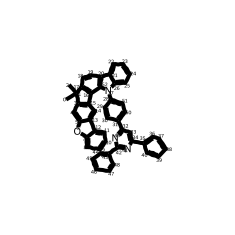 CC1(C)c2cc3oc4ccccc4c3cc2-c2c1ccc1c3ccccc3n(-c3ccc(-c4cc(-c5ccccc5)nc(-c5ccccc5)n4)cc3)c21